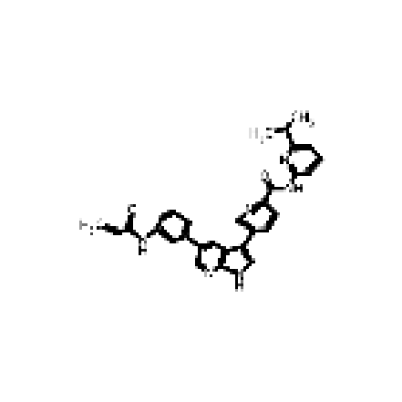 C=CC(=O)Nc1cccc(-c2cnc3[nH]cc(-c4ccc(C(=O)Nc5cccc(C(C)C)n5)nc4)c3c2)c1